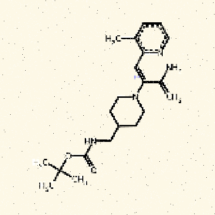 C=C(N)/C(=C\c1ncccc1C)N1CCC(CNC(=O)OC(C)(C)C)CC1